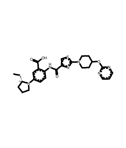 CC[C@H]1CCCN1c1ccc(NC(=O)c2csc(N3CCC(Oc4ncccn4)CC3)n2)c(C(=O)O)c1